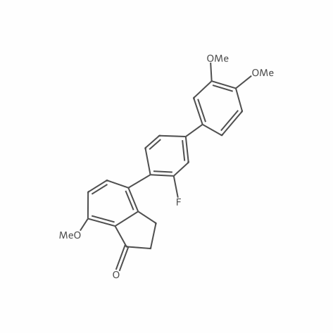 COc1ccc(-c2ccc(-c3ccc(OC)c4c3CCC4=O)c(F)c2)cc1OC